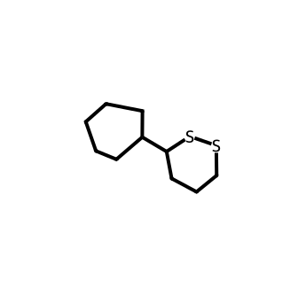 C1CCC(C2CCCSS2)CC1